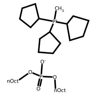 CCCCCCCCOP(=O)([O-])OCCCCCCCC.C[P+](C1CCCC1)(C1CCCC1)C1CCCC1